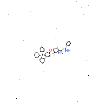 N=C(SC(=N)c1ccc2c(c1)Oc1cc3c(cc1O2)C(c1ccccc1)(c1ccccc1)c1ccccc1-3)c1ccccc1